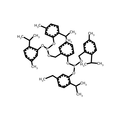 CCc1ccc(C(C)C)c(OP(OCc2cc(C)ccc2C(C)C)Oc2ccccc2COP(Oc2cc(C)ccc2C(C)C)Oc2cc(C)ccc2C(C)C)c1